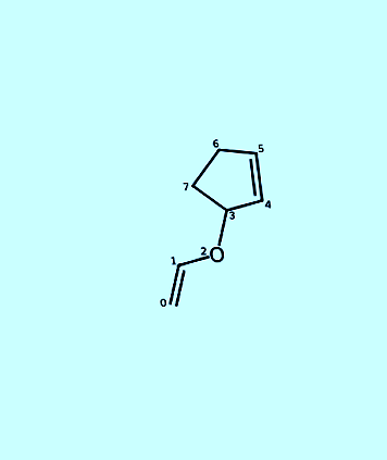 C=COC1C=CCC1